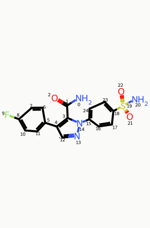 NC(=O)c1c(-c2ccc(F)cc2)[c]nn1-c1ccc(S(N)(=O)=O)cc1